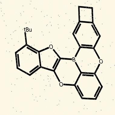 CC(C)(C)c1cccc2c3c(oc12)B1c2cc4c(cc2Oc2cccc(c21)O3)CC4